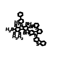 Bc1c(B)c(B)c2c(c1B)c1c(B)c(-c3ccc4c(c3)c3c(-c5ccccc5)cccc3n4-c3ccc4sc5ccccc5c4c3)c(B)c(B)c1n2-c1ccc(-c2ccccc2)cc1